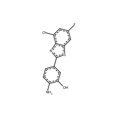 Nc1ccc(-c2nc3c(Cl)cc(F)cc3s2)cc1O